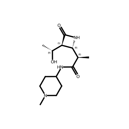 C[C@@H](O)[C@H]1C(=O)N[C@@H]1[C@@H](C)C(=O)NC1CCN(C)CC1